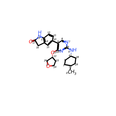 C[C@H]1CC[C@H](Nc2ncc(-c3ccc4c(c3)CC(=O)N4)c(O[C@@H]3CCOC3)n2)CC1